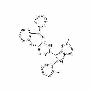 Cc1ccn2nc(-c3ccccc3F)c(C(=O)N[C@H]3N=C(c4ccccc4)c4ccccc4NC3=O)c2n1